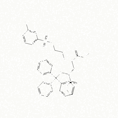 CC(C)(C)OC(=O)[C@@H](CCCOS(=O)(=O)c1cccc([N+](=O)[O-])c1)C[C@H](NC(c1ccccc1)(c1ccccc1)c1ccccc1)C(=O)OC(C)(C)C